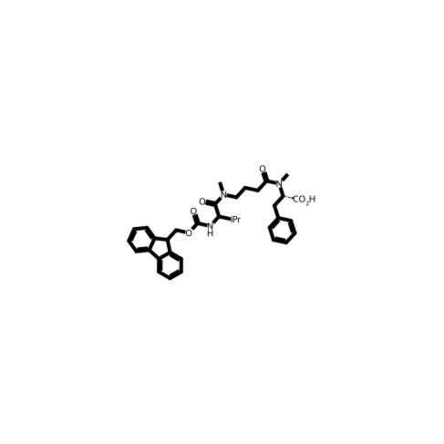 CC(C)C(NC(=O)OCC1c2ccccc2-c2ccccc21)C(=O)N(C)CCCC(=O)N(C)[C@@H](Cc1ccccc1)C(=O)O